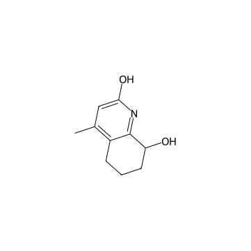 Cc1cc(O)nc2c1CCCC2O